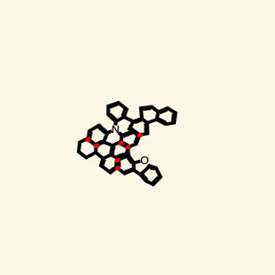 c1cc(-c2cccc3c2oc2ccccc23)cc(N(c2ccccc2-c2cccc3c2ccc2ccccc23)c2ccccc2-c2cccc3cccc(C4CCCCC4)c23)c1